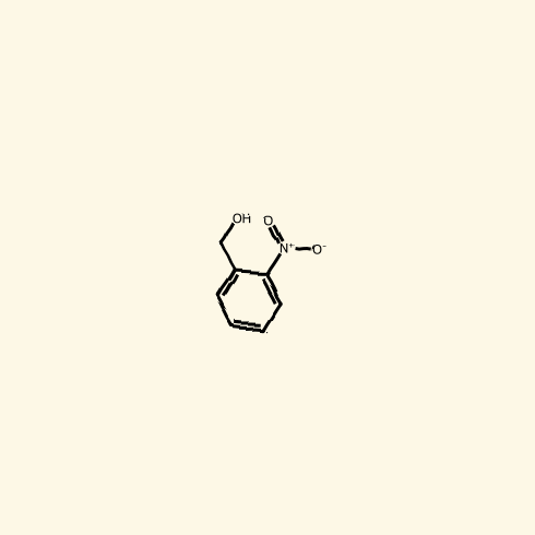 O=[N+]([O-])c1c[c]ccc1CO